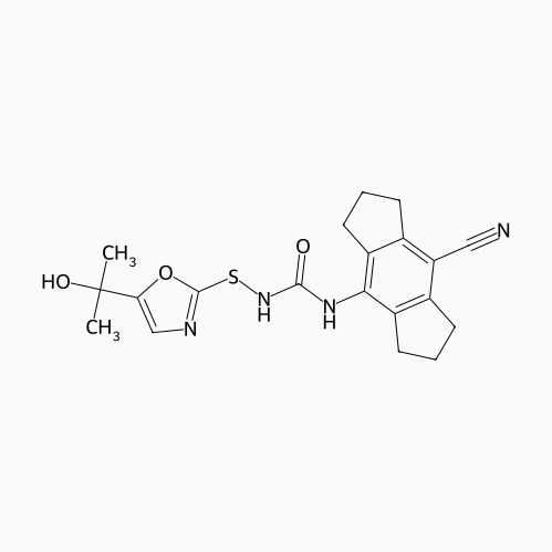 CC(C)(O)c1cnc(SNC(=O)Nc2c3c(c(C#N)c4c2CCC4)CCC3)o1